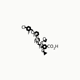 O=C(O)c1cc(OC2CC2)c2nc(CN3CCN(c4cccc(OCc5ccc(Cl)cc5F)n4)C=N3)n(C[C@@H]3CCO3)c2c1